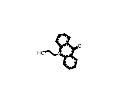 O=c1c2ccccc2n(CCO)c2ccccc12